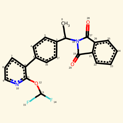 CC(c1ccc(-c2cccnc2OC(F)F)cc1)N1C(=O)c2ccccc2C1=O